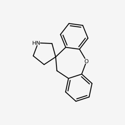 c1ccc2c(c1)CC1(CCNC1)c1ccccc1O2